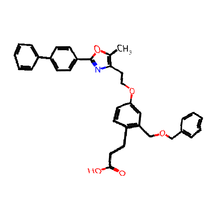 Cc1oc(-c2ccc(-c3ccccc3)cc2)nc1CCOc1ccc(CCC(=O)O)c(COCc2ccccc2)c1